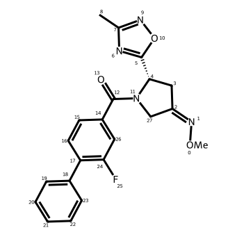 CO/N=C1/C[C@@H](c2nc(C)no2)N(C(=O)c2ccc(-c3ccccc3)c(F)c2)C1